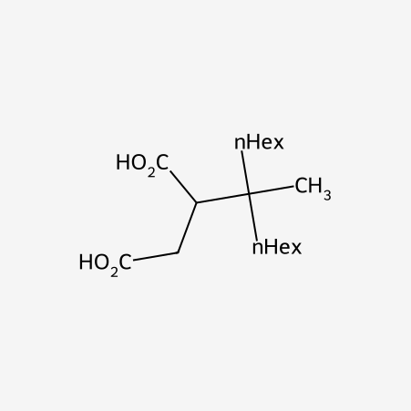 CCCCCCC(C)(CCCCCC)C(CC(=O)O)C(=O)O